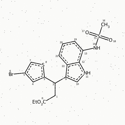 CCOC(=O)CC(c1cc(Br)cs1)c1c[nH]c2c(NS(C)(=O)=O)cccc12